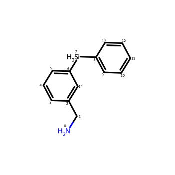 NCc1cccc([SiH2]c2ccccc2)c1